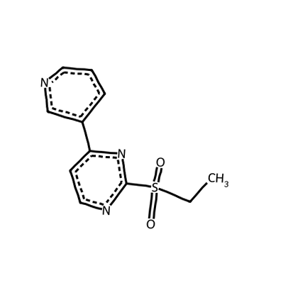 CCS(=O)(=O)c1nccc(-c2cccnc2)n1